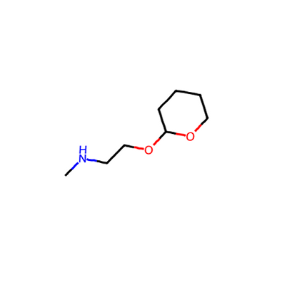 CNCCOC1CCCCO1